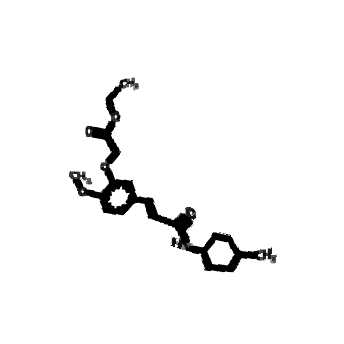 CCOC(=O)COc1cc(C=CC(=O)NC2CCC(C)CC2)ccc1OC